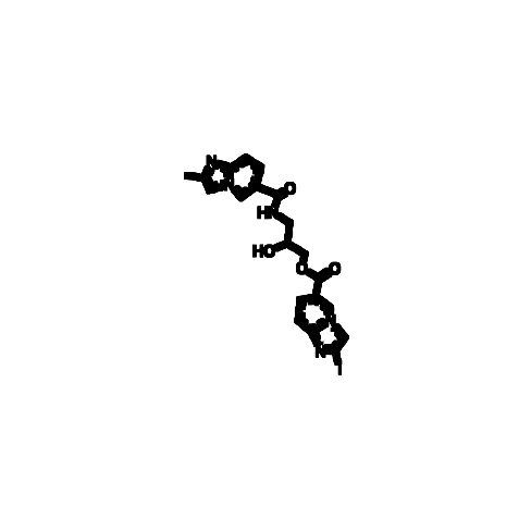 Cc1cn2cc(C(=O)NCC(O)COC(=O)c3ccc4nc(I)cn4c3)ccc2n1